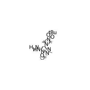 Cc1nc2c(N3C[C@@H](C)N(C(=O)OC(C)(C)C)C[C@@H]3C)cc(NN)nc2n1C[C@@H]1CCCO1